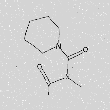 CC(=O)N(C)C(=O)N1CCCCC1